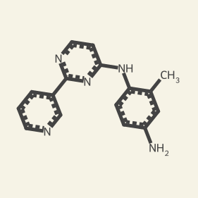 Cc1cc(N)ccc1Nc1ccnc(-c2cccnc2)n1